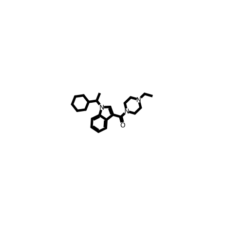 CCN1CCN(C(=O)c2cn(C(C)C3CCCCC3)c3ccccc23)CC1